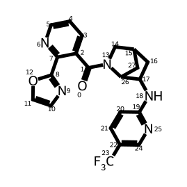 O=C(c1cccnc1-c1ncco1)N1CC2CC(Nc3ccc(C(F)(F)F)cn3)C1C2